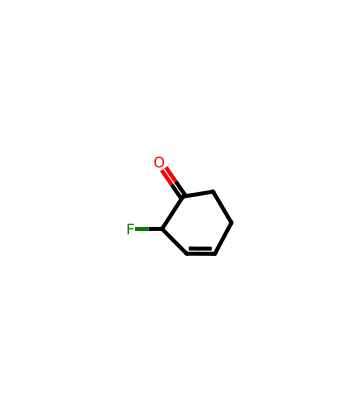 O=C1CCC=CC1F